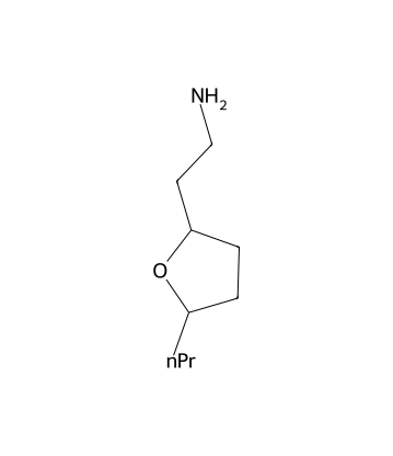 CCCC1CCC(CCN)O1